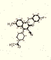 CC(=O)N1CCN(c2c(C#N)c(=O)n(Cc3ccc(F)cc3)c3ccc(C)cc23)CC1